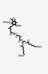 CCCCCCCCCCCCCCCC(=O)OCC(COC(=O)CCCCCCCCCCCCCCC)OC(=O)CC(C)CC(=O)OCOC(=O)CCC(C)=CCc1c(OC)c(C)c2c(c1OCCCCC)C(=O)OC2